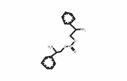 NC(CO[PH](=O)OCC(N)c1ccccc1)c1ccccc1